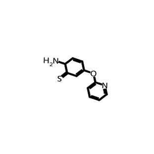 NC1C=CC(Oc2ccccn2)=CC1=S